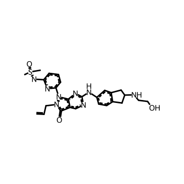 C=CCn1c(=O)c2cnc(Nc3ccc4c(c3)CC(NCCO)C4)nc2n1-c1cccc(N=S(C)(C)=O)n1